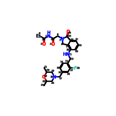 CCC(=O)NC(=O)CN1Cc2c(NCc3ccc(CN4CC(C)OC(C)C4)cc3F)cccc2C1=O